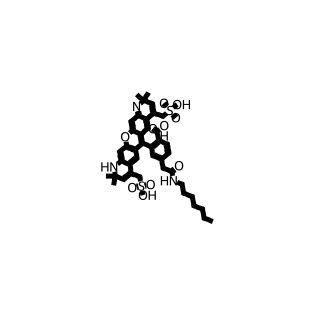 CCCCCCCNC(=O)Cc1ccc(C(=O)O)c(C2=c3cc4c(cc3Oc3cc5c(cc32)C(CS(=O)(=O)O)=CC(C)(C)N5)=NC(C)(C)C=C4CS(=O)(=O)O)c1